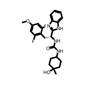 COc1cc(F)c(C[C@@H](NC(=O)NC2CCC(C)(O)CC2)c2nc3ccccc3[nH]2)c(F)c1